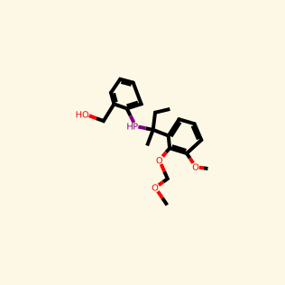 CCC(C)(Pc1ccccc1CO)c1cccc(OC)c1OCOC